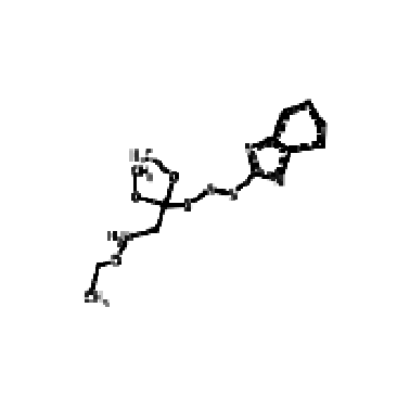 CCO[SiH2]CC(OC)(OC)SSSc1nc2ccccc2s1